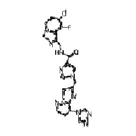 O=C(NCc1ncn2ccc(Cl)c(F)c12)c1cn(Cc2cn3nccc(-n4cnnc4)c3n2)nn1